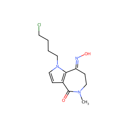 CN1CCC(=NO)c2c(ccn2CCCCCl)C1=O